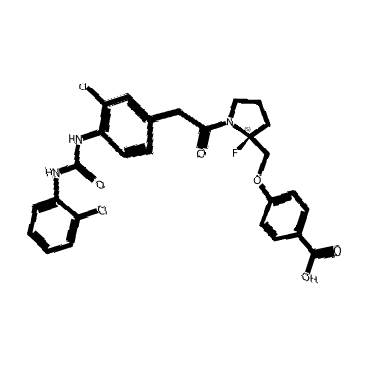 O=C(Nc1ccccc1Cl)Nc1ccc(CC(=O)N2CCC[C@]2(F)COc2ccc(C(=O)O)cc2)cc1Cl